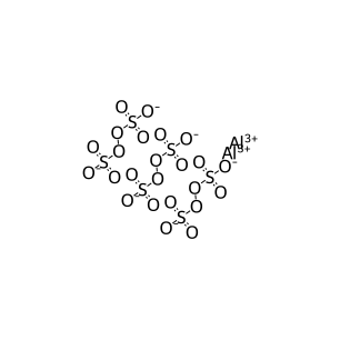 O=S(=O)([O-])OOS(=O)(=O)[O-].O=S(=O)([O-])OOS(=O)(=O)[O-].O=S(=O)([O-])OOS(=O)(=O)[O-].[Al+3].[Al+3]